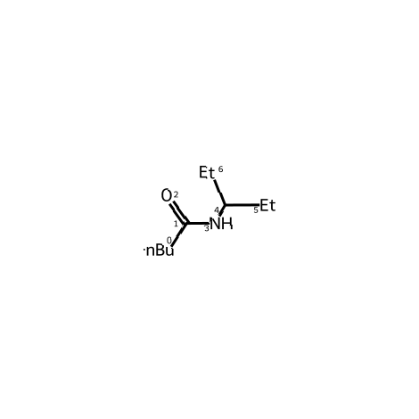 CCC[CH]C(=O)NC(CC)CC